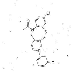 CC(=O)N1Cc2ccc(C3=CC=CC(=O)C3)cc2CSc2cc(Cl)ccc21